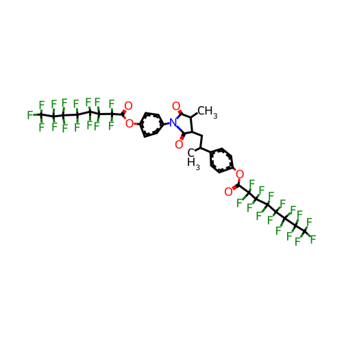 CC(CC1C(=O)N(c2ccc(OC(=O)C(F)(F)C(F)(F)C(F)(F)C(F)(F)C(F)(F)C(F)(F)C(F)(F)F)cc2)C(=O)C1C)c1ccc(OC(=O)C(F)(F)C(F)(F)C(F)(F)C(F)(F)C(F)(F)C(F)(F)C(F)(F)F)cc1